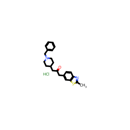 Cc1nc2ccc(CC(=O)CC3CCN(Cc4ccccc4)CC3)cc2s1.Cl